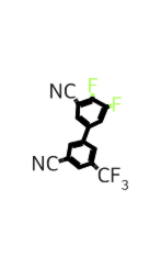 N#Cc1cc(-c2cc(F)c(F)c(C#N)c2)cc(C(F)(F)F)c1